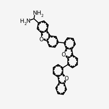 NC(N)c1ccc2c(c1)oc1ccc(-c3cccc4c3oc3c(-c5cccc6c5oc5ccccc56)cccc34)cc12